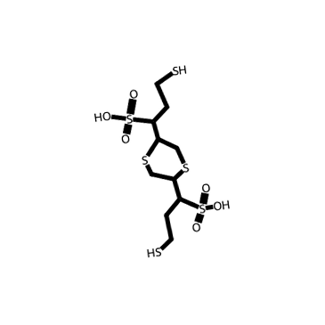 O=S(=O)(O)C(CCS)C1CSC(C(CCS)S(=O)(=O)O)CS1